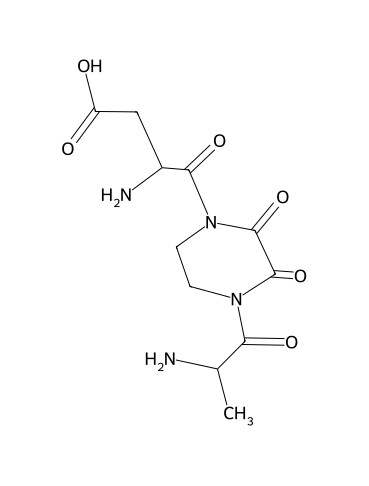 CC(N)C(=O)N1CCN(C(=O)C(N)CC(=O)O)C(=O)C1=O